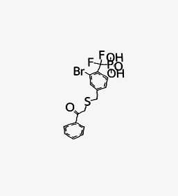 O=C(CSCc1ccc(C(F)(F)P(=O)(O)O)c(Br)c1)c1ccccc1